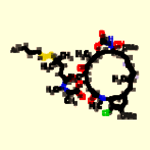 COc1cc2cc(c1Cl)N(C)C(=O)C[C@H](OC(=O)[C@H](C)N(C)C(=O)CCC(C)(C)SSCCCC(C)=O)[C@]1(C)OC1[C@H](C)C1C[C@@](O)(NC(=O)O1)[C@H](OC)/C=C/C=C(\C)C2